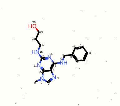 Cn1cnc2c(NCc3ccccc3)nc(NCCCO)nc21